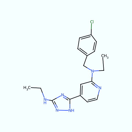 CCNc1n[nH]c(-c2ccnc(N(CC)Cc3ccc(Cl)cc3)c2)n1